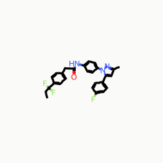 CCC(F)(F)c1ccc(CC(=O)Nc2ccc(-n3nc(C)cc3-c3ccc(F)cc3)cc2)cc1